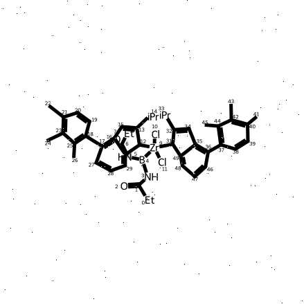 CCC(=O)N[B](NC(=O)CC)[Zr]([Cl])([Cl])([CH]1C(C(C)C)=Cc2c(-c3ccc(C)c(C)c3C)cccc21)[CH]1C(C(C)C)=Cc2c(-c3ccc(C)c(C)c3C)cccc21